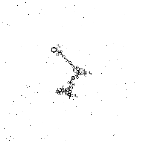 CC[C@@]1(O)C(=O)OCc2c1cc1n(c2=O)Cc2c-1nc1cc(F)c(C)c3c1c2[C@@H](NC(=O)CNC(=O)OCc1ccc(NC(=O)[C@H](CCCNC(N)=O)NC(=O)[C@@H](NC(=O)CCOCCOCCOCCOCCNC(=O)COC2CCCCC/C=C\C2C)C(C)C)cc1)CC3